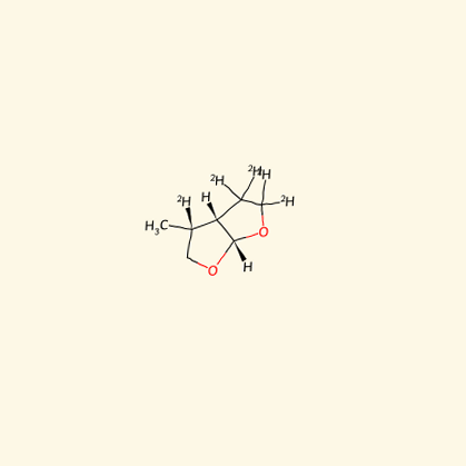 [2H]C1([2H])O[C@@H]2OC[C@]([2H])(C)[C@@H]2C1([2H])[2H]